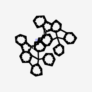 C(=C\n1c2ccccc2c2ccc3c(c21)C(c1ccccc1)(c1ccccc1)c1ccccc1-3)/Cn1c2ccccc2c2ccc3c(c21)C(c1ccccc1)(c1ccccc1)c1ccccc1-3